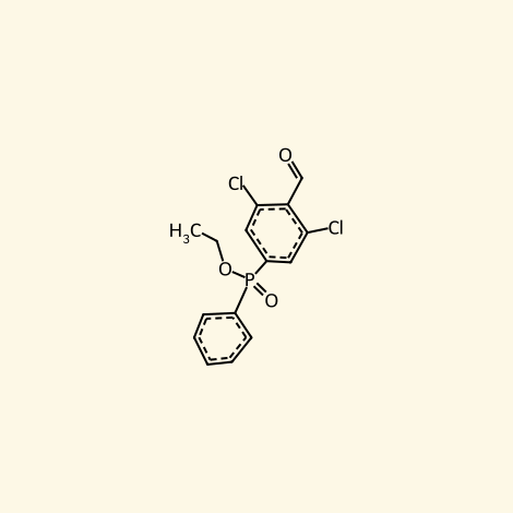 CCOP(=O)(c1ccccc1)c1cc(Cl)c(C=O)c(Cl)c1